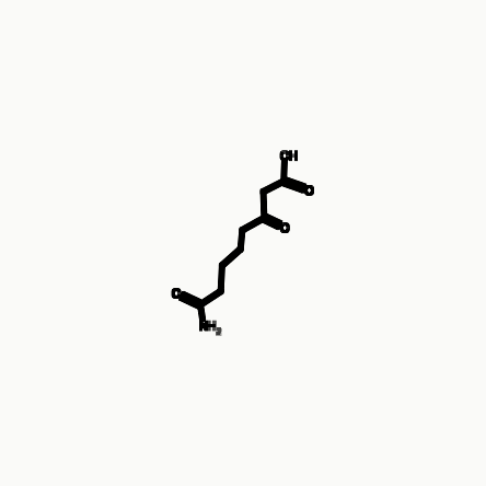 NC(=O)CCCCC(=O)CC(=O)O